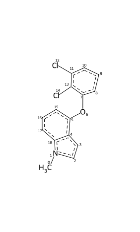 Cn1ccc2c(Oc3cccc(Cl)c3Cl)cccc21